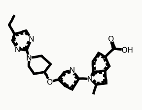 CCc1cnc(N2CCC(Oc3ccc(-n4c(C)cc5cc(C(=O)O)ccc54)nc3)CC2)nc1